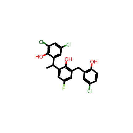 CC(c1cc(Cl)cc(Cl)c1O)c1cc(F)cc(Cc2cc(Cl)ccc2O)c1O